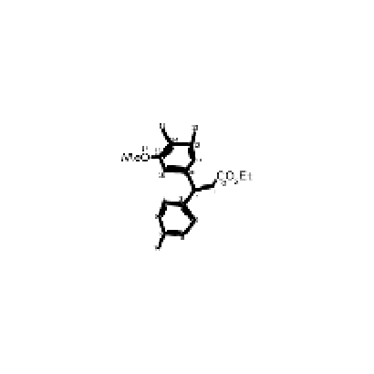 CCOC(=O)CC(c1ccc(C)cc1)c1cc(C)c(C)c(OC)c1